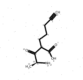 C#CCCCC(C(=O)O)C(=O)[C@H](C)N